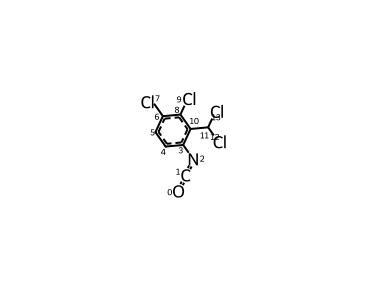 O=C=Nc1ccc(Cl)c(Cl)c1C(Cl)Cl